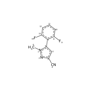 Cn1nc(C#N)cc1-c1c(F)cccc1F